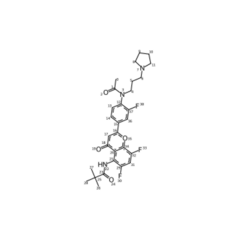 CC(=O)N(CCCN1CCCC1)c1ccc(-c2cc(=O)c3c(NC(=O)C(C)(C)C)c(F)cc(F)c3o2)cc1F